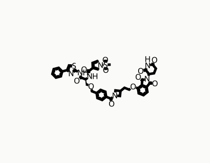 CS(=O)(=O)n1ccc(C(=O)N[C@@H](COCc2ccc(C(=O)N3CC(CCOc4cccc5c4C(=O)N(C4CCC(=O)NC4=O)C5=O)C3)cc2)C(=O)Nc2nc(-c3ccccc3)cs2)c1